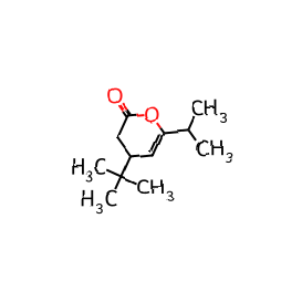 CC(C)C1=CC(C(C)(C)C)CC(=O)O1